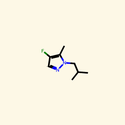 Cc1c(F)[c]nn1CC(C)C